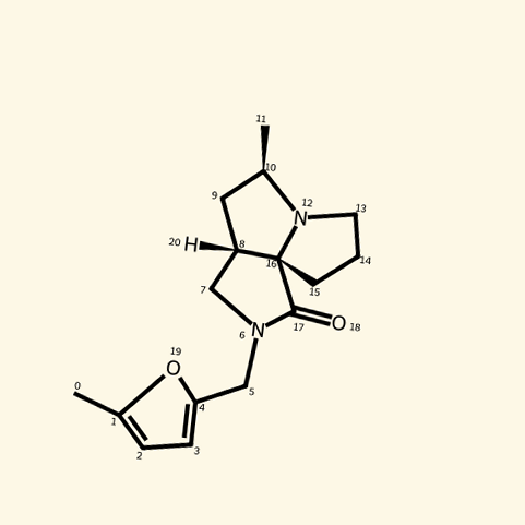 Cc1ccc(CN2C[C@@H]3C[C@@H](C)N4CCC[C@@]34C2=O)o1